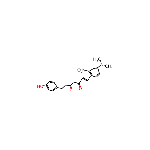 CN(C)c1ccc(C=CC(=O)CC(=O)CCc2ccc(O)cc2)c([N+](=O)[O-])c1